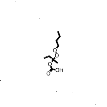 CCCCOOC(C)(CC)OC(=O)O